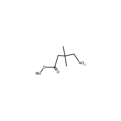 CC(C)(CC(=O)OC(C)(C)C)C[N+](=O)[O-]